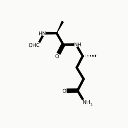 C[C@H](CCC(N)=O)NC(=O)[C@H](C)NC=O